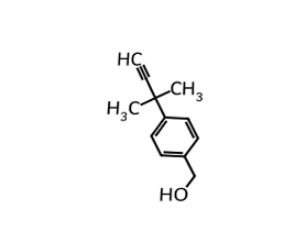 C#CC(C)(C)c1ccc(CO)cc1